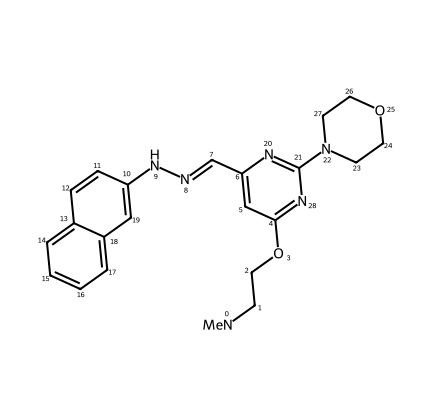 CNCCOc1cc(C=NNc2ccc3ccccc3c2)nc(N2CCOCC2)n1